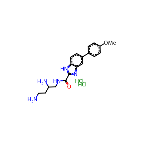 COc1ccc(-c2ccc3[nH]c(C(=O)NCC(N)CCN)nc3c2)cc1.Cl.Cl